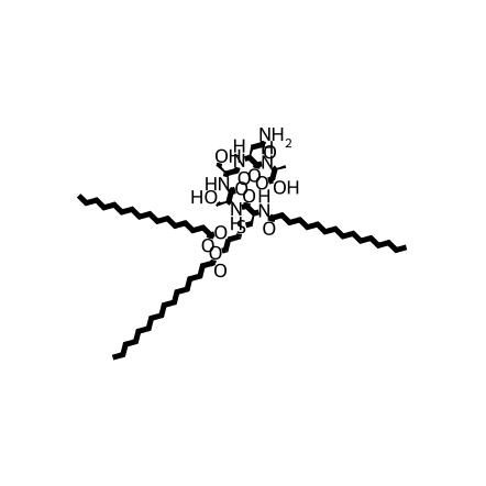 CCCCCCCCCCCCCCCC(=O)N[C@@H](CSCC(COC(=O)CCCCCCCCCCCCCCC)OC(=O)CCCCCCCCCCCCCCC)C(=O)N[C@@H](CO)C(=O)N[C@@H](CO)C(=O)N[C@@H](CC(N)=O)C(=O)N[C@@H](C)C(=O)O